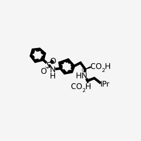 CC(C)C[C@H](N[C@@H](Cc1ccc(NS(=O)(=O)c2ccccc2)cc1)C(=O)O)C(=O)O